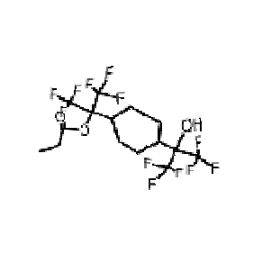 CCC(=O)OC(C1CCC(C(O)(C(F)(F)F)C(F)(F)F)CC1)(C(F)(F)F)C(F)(F)F